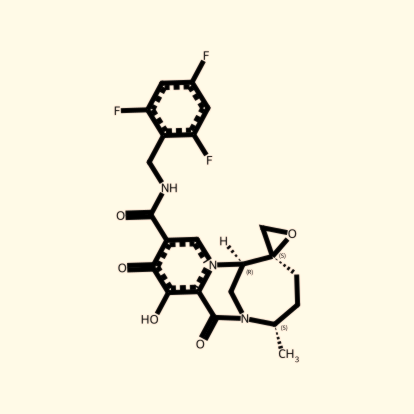 C[C@H]1CC[C@@]2(CO2)[C@H]2CN1C(=O)c1c(O)c(=O)c(C(=O)NCc3c(F)cc(F)cc3F)cn12